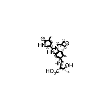 Cc1cc(C2Nc3cc(CNC(C(=O)O)[C@@H](C)O)ccc3N2CC2COC2)c[nH]c1=O